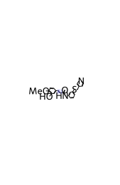 COc1ccc(/C=C/C(=O)Nc2cccc(SCc3ccncc3)c2)cc1O